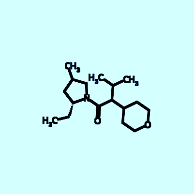 CC[C@@H]1CC(C)CN1C(=O)C(C(C)C)C1CCOCC1